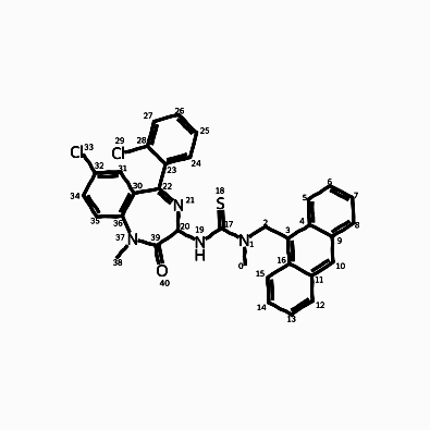 CN(Cc1c2ccccc2cc2ccccc12)C(=S)NC1N=C(c2ccccc2Cl)c2cc(Cl)ccc2N(C)C1=O